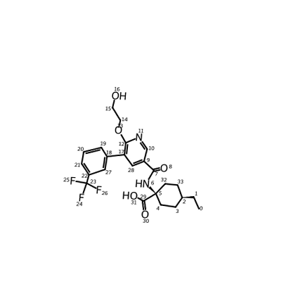 CC[C@H]1CC[C@](NC(=O)c2cnc(OCCO)c(-c3cccc(C(F)(F)F)c3)c2)(C(=O)O)CC1